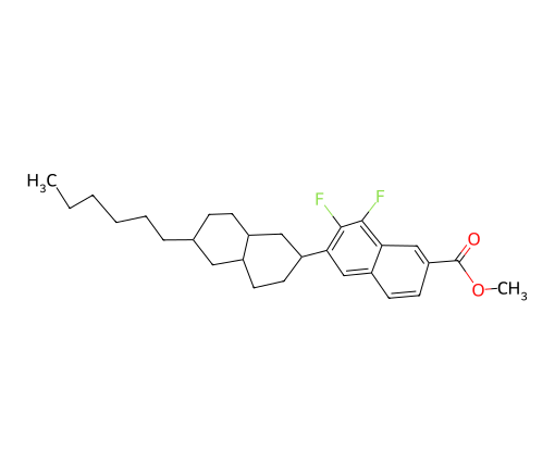 CCCCCCC1CCC2CC(c3cc4ccc(C(=O)OC)cc4c(F)c3F)CCC2C1